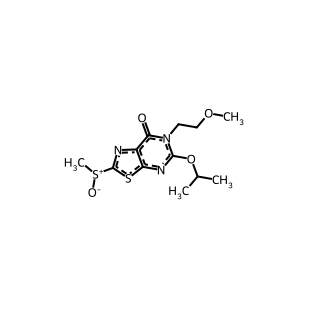 COCCn1c(OC(C)C)nc2sc([S+](C)[O-])nc2c1=O